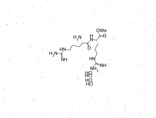 COC(=O)[C@H](CCCNC(=N)N)NC(=O)[C@@H](N)CCCNC(=N)N.Cl.Cl.Cl.Cl